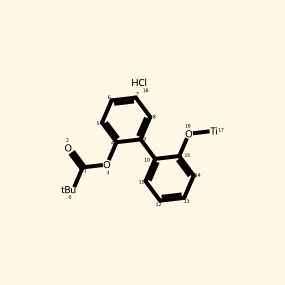 CC(C)(C)C(=O)Oc1ccccc1-c1ccccc1[O][Ti].Cl